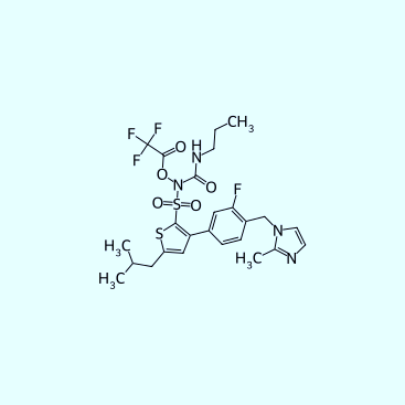 CCCNC(=O)N(OC(=O)C(F)(F)F)S(=O)(=O)c1sc(CC(C)C)cc1-c1ccc(Cn2ccnc2C)c(F)c1